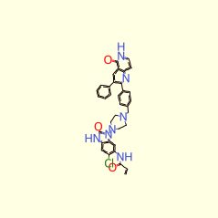 C=CC(=O)Nc1cc2c(cc1Cl)[nH]c(=O)n2N1CCN(Cc2ccc(-c3nc4cc[nH]c(=O)c4cc3-c3ccccc3)cc2)CC1